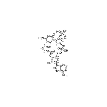 Nc1ccn([C@H]2C[C@H](OP(=O)(O)OC[C@H]3O[C@@H](n4cnc5c(N)ncnc54)[C@H](O)[C@@H]3OC(=O)C3CSCN3)[C@@H](COP(=O)(O)O)O2)c(=O)n1